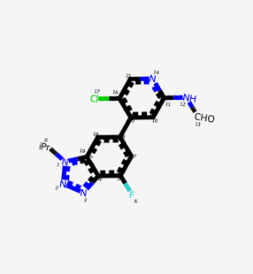 CC(C)n1nnc2c(F)cc(-c3cc(NC=O)ncc3Cl)cc21